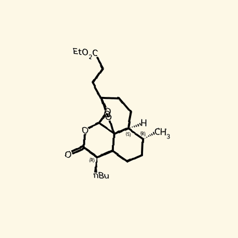 CCCC[C@H]1C(=O)OC2OC3(CCC(=O)OCC)CC[C@H]4[C@H](C)CCC1C24OO3